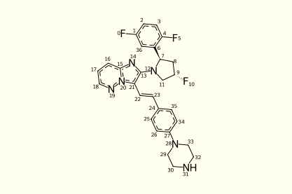 Fc1ccc(F)c([C@H]2C[C@H](F)CN2c2nc3cccnn3c2/C=C/c2ccc(N3CCNCC3)cc2)c1